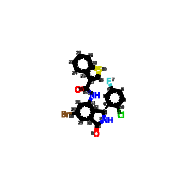 O=C1N[C@@H](c2cc(F)ccc2Cl)c2c(NC(=O)c3csc4ccccc34)cc(Br)cc21